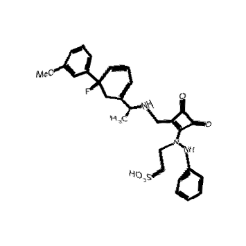 COc1cccc(C2(F)C=CC=C([C@H](C)NCc3c(N(CCS(=O)(=O)O)Nc4ccccc4)c(=O)c3=O)C2)c1